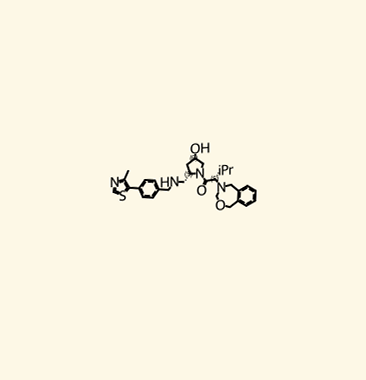 Cc1ncsc1-c1ccc(CNC[C@@H]2C[C@@H](O)CN2C(=O)[C@H](C(C)C)N2COCc3ccccc3C2)cc1